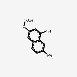 Nc1ccc2cc(OS(=O)(=O)O)cc(O)c2c1